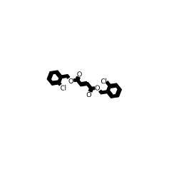 O=C(C=CC(=O)OCc1ccccc1Cl)OCc1ccccc1Cl